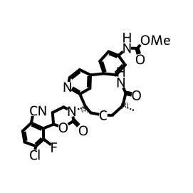 COC(=O)Nc1ccc2c(c1)NC(=O)[C@H](C)CCC[C@H](N1CCC(c3c(C#N)ccc(Cl)c3F)OC1=O)c1cc-2ccn1